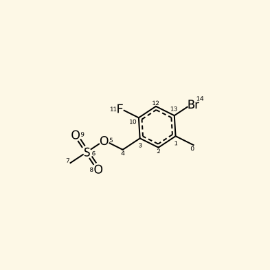 Cc1cc(COS(C)(=O)=O)c(F)cc1Br